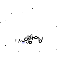 C=C/C=C\c1cccc2c1Oc1ccccc1N2C1N=C(c2ccc(Nc3ccccc3)cc2)N=CN1